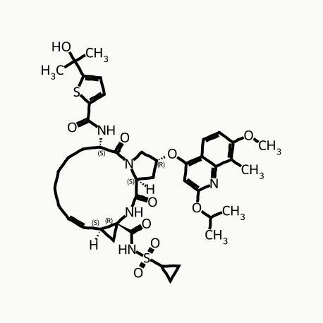 COc1ccc2c(O[C@@H]3C[C@H]4C(=O)N[C@]5(C(=O)NS(=O)(=O)C6CC6)C[C@H]5C=CCCCCC[C@H](NC(=O)c5ccc(C(C)(C)O)s5)C(=O)N4C3)cc(OC(C)C)nc2c1C